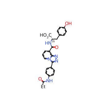 CCC(=O)Nc1ccc(-c2nnc3c(C(=O)N[C@@H](Cc4ccc(O)cc4)C(=O)O)cccn23)cc1